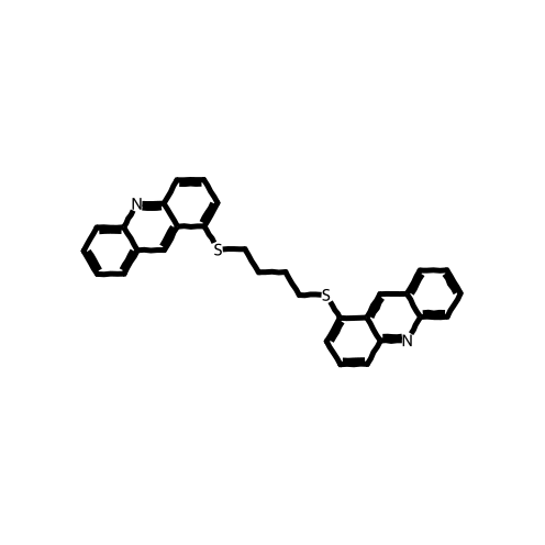 c1ccc2nc3cccc(SCCCCSc4cccc5nc6ccccc6cc45)c3cc2c1